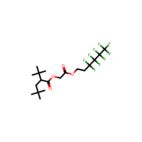 CC(C)(C)CC(C(=O)OCC(=O)OCCC(F)(F)C(F)(F)C(F)(F)C(F)(F)F)C(C)(C)C